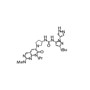 CNc1ncc2cc(N3CCC(NC(=O)Nc4cc(C(C)(C)C)nn4-c4cn[nH]c4)C3)c(=O)n(C(C)C)c2n1